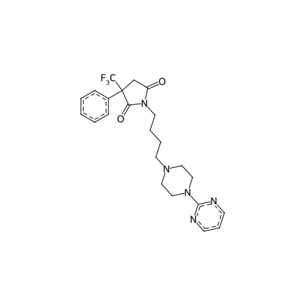 O=C1CC(c2ccccc2)(C(F)(F)F)C(=O)N1CCCCN1CCN(c2ncccn2)CC1